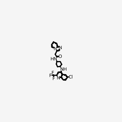 O=C(Cc1cnc2ccccn12)NC1CCC(Nc2cc(C(F)(F)F)nc3ccc(Cl)cc23)CC1